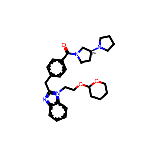 O=C(c1ccc(Cc2nc3ccccc3n2CCOC2CCCCO2)cc1)N1CC[C@H](N2CCCC2)C1